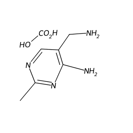 Cc1ncc(CN)c(N)n1.O=C(O)O